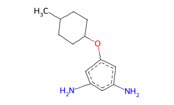 CC1CCC(Oc2cc(N)cc(N)c2)CC1